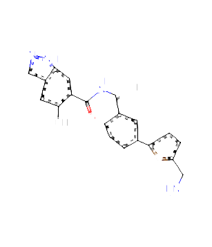 Cc1cc2cn[nH]c2cc1C(=O)N[C@H](C)c1cccc(-c2ccc(CN)s2)c1